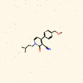 COCc1ccc(-c2ccn(CCC(C)C)c(=O)c2C#N)cc1